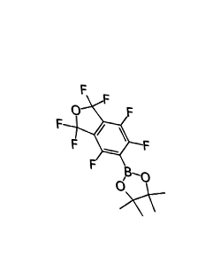 CC1(C)OB(c2c(F)c(F)c3c(c2F)C(F)(F)OC3(F)F)OC1(C)C